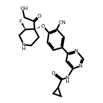 N#Cc1cc(-c2cc(NC(=O)C3CC3)ncn2)ccc1O[C@]1(C(=O)CO)CCNC[C@H]1F